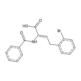 O=C(O)C(=CCc1ccccc1Br)NC(=O)c1ccccc1